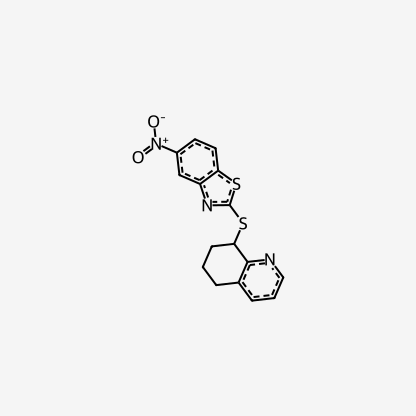 O=[N+]([O-])c1ccc2sc(SC3CCCc4cccnc43)nc2c1